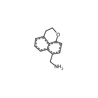 NCc1ccc2c3c(cccc13)CCO2